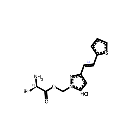 CC(C)[C@@H](N)C(=O)OCn1ccc(/C=C/c2cccs2)n1.Cl